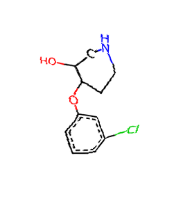 OC1CNCCC1Oc1cccc(Cl)c1